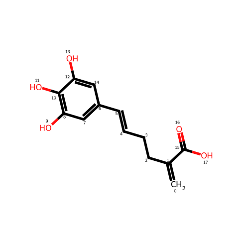 C=C(CCC=Cc1cc(O)c(O)c(O)c1)C(=O)O